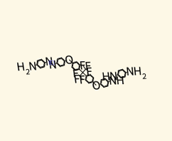 Nc1ccc(/N=N/c2ccc(Oc3ccc(C(c4ccc(Oc5ccc(NNc6ccc(N)cc6)cc5)cc4)(C(F)(F)F)C(F)(F)F)cc3)cc2)cc1